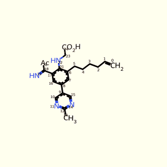 C=CCCCCc1cc(-c2cnc(C)nc2)cc(C(=N)C(C)=O)c1NCC(=O)O